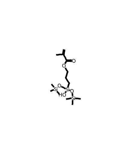 C=C(C)C(=O)OCCC[Si](O)(O[Si](C)(C)C)O[Si](C)(C)C